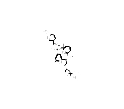 CC1(C)C[C@H](CCC(Nc2cccc([S+]([O-])NC(=O)c3ccc(C(C)(C)C)nc3F)n2)c2cccc(Br)n2)CN1